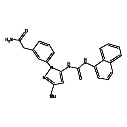 CC(C)(C)c1cc(NC(=O)Nc2cccc3ccccc23)n(-c2cccc(CC(N)=O)c2)n1